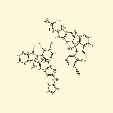 C#Cc1cccc(N2C(=O)c3c(F)ccc(F)c3C2(O)c2ccc3[nH]c(NC(=O)O)nc3c2)c1F.O=C1c2ccccc2C(O)(c2ccc3[nH]c(Nc4nccs4)nc3c2)N1c1cccc(Cl)c1F